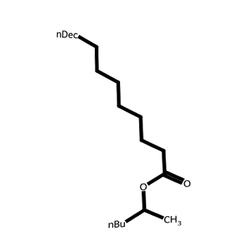 CCCCCCCCCCCCCCCCCC(=O)OC(C)CCCC